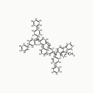 CC1(C)c2ccccc2-c2ccc(N(c3ccc(-c4ccccc4)cc3)c3cc4c5c(cccc5c3)-c3cc(N(c5ccc(-c6ccccc6)cc5)c5ccc(-c6ccccc6)cc5)ccc3O4)cc21